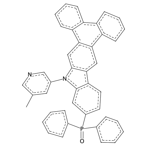 Cc1cncc(-n2c3cc(P(=O)(c4ccccc4)c4ccccc4)ccc3c3cc4c5ccccc5c5ccccc5c4cc32)c1